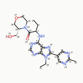 CCC(Nc1ncnc2c1nc(-c1cnc(C)nc1)n2CC)C(=O)N1CCOC[C@H]1CO